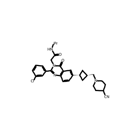 CC(C)NC(=O)Cn1c(-c2cccc(Cl)c2)nc2ccc([C@H]3C[C@@H](CN4CCC(C#N)CC4)C3)cc2c1=O